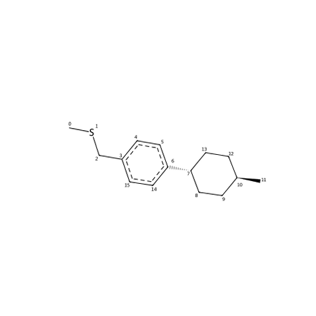 CSCc1ccc([C@H]2CC[C@H](C)CC2)cc1